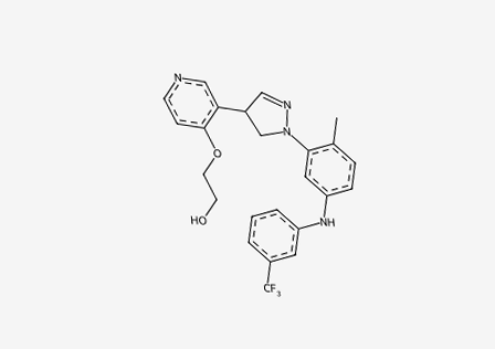 Cc1ccc(Nc2cccc(C(F)(F)F)c2)cc1N1CC(c2cnccc2OCCO)C=N1